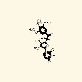 COc1cc(C(=O)C(O)(F)[C@H]2O[C@@H](n3ccc(=O)[nH]c3=O)[C@H](O)[C@@H]2O)cc(OC)c1OC